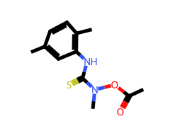 CC(=O)ON(C)C(=S)Nc1cc(C)ccc1C